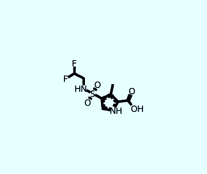 Cc1c(S(=O)(=O)NCC(F)F)c[nH]c1C(=O)O